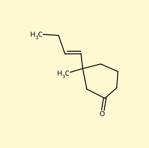 CC/C=C/C1(C)CCCC(=O)C1